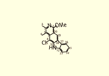 COc1nc(C)c(C)c2c(Cl)c3[nH]c4ccccc4c3cc12